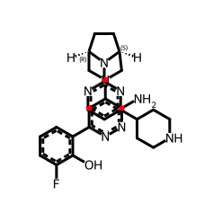 Nc1nnc(-c2cccc(F)c2O)cc1N1C[C@H]2CC[C@@H](C1)N2c1nccc(C2CCNCC2)n1